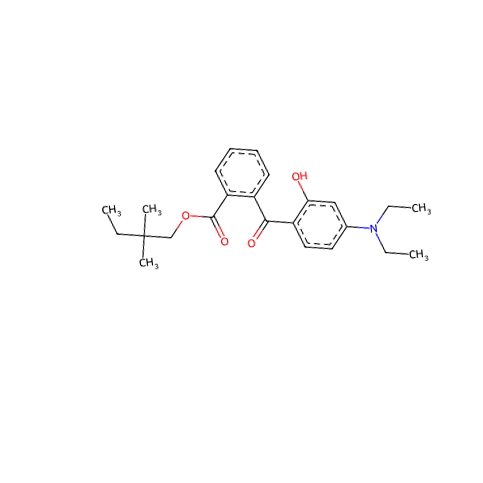 CCN(CC)c1ccc(C(=O)c2ccccc2C(=O)OCC(C)(C)CC)c(O)c1